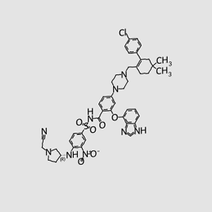 CC1(C)CCC(CN2CCN(c3ccc(C(=O)NS(=O)(=O)c4ccc(N[C@@H]5CCN(CC#N)C5)c([N+](=O)[O-])c4)c(Oc4cccc5[nH]cnc45)c3)CC2)=C(c2ccc(Cl)cc2)C1